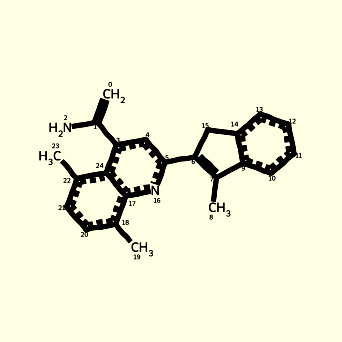 C=C(N)c1cc(C2=C(C)c3ccccc3C2)nc2c(C)ccc(C)c12